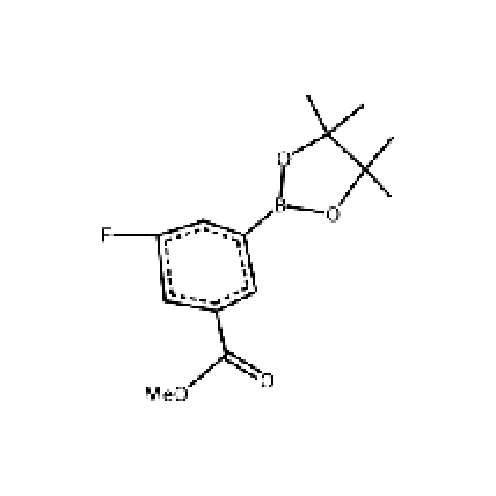 COC(=O)c1cc(F)cc(B2OC(C)(C)C(C)(C)O2)c1